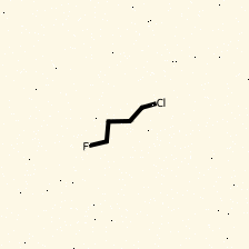 FCC[CH]CCl